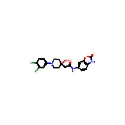 O=C(CC1(O)CCN(c2ccc(Cl)c(F)c2)CC1)Nc1ccc2[nH]c(=O)oc2c1